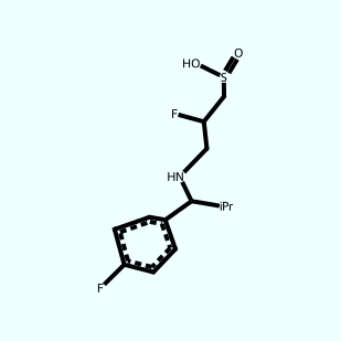 CC(C)C(NCC(F)CS(=O)O)c1ccc(F)cc1